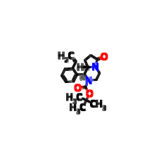 C=Cc1ccccc1[C@H]1[C@@H]2CCC(=O)N2CCN1C(=O)OC(C)(C)C